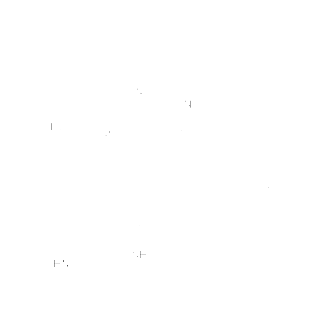 Cl.O=c1c(-c2ccc(N[C@@H]3CCNC3)cc2)c(CCC2CC2)nc2ccccn12